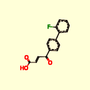 O=C(O)/C=C/C(=O)c1ccc(-c2ccccc2F)cc1